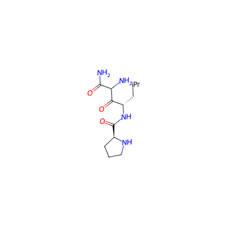 CC(C)C[C@H](NC(=O)[C@@H]1CCCN1)C(=O)C(N)C(N)=O